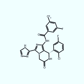 O=C1Cn2c(-c3nnc[nH]3)nc(NC(=O)c3cc(F)cc(C(F)(F)F)c3)c2[C@H](c2cc(F)ccc2Cl)N1